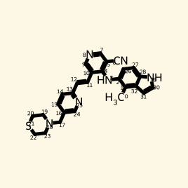 Cc1c(Nc2c(C#N)cncc2C=Cc2ccc(CN3CCSCC3)cn2)ccc2[nH]ccc12